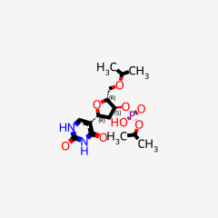 CC(C)OC[C@H]1O[C@@H](c2c[nH]c(=O)[nH]c2=O)C[C@@H]1OP(=O)(O)OC(C)C